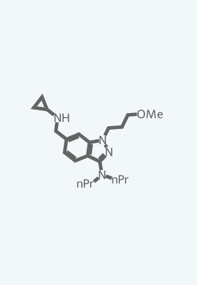 CCCN(CCC)c1nn(CCCOC)c2cc(CNC3CC3)ccc12